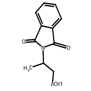 CCCCCCCCCC(C)N1C(=O)c2ccccc2C1=O